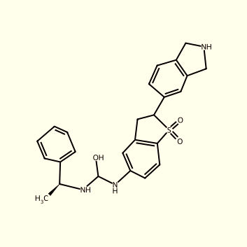 C[C@H](NC(O)Nc1ccc2c(c1)CC(c1ccc3c(c1)CNC3)S2(=O)=O)c1ccccc1